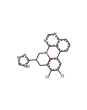 Clc1ccc(-c2cccc3ncnc(N4CCCC(c5nnc[nH]5)C4)c23)cc1Cl